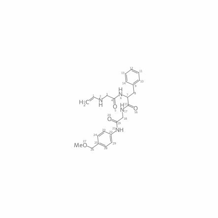 C=CNCC(=O)NC(Cc1ccccc1)C(=O)NCC(=O)Nc1ccc(COC)cc1